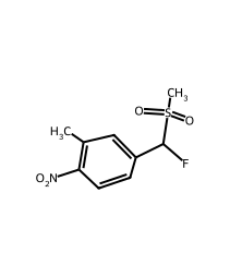 Cc1cc(C(F)S(C)(=O)=O)ccc1[N+](=O)[O-]